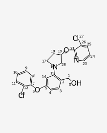 OCc1ccc(Oc2ccccc2Cl)cc1N1CCC(Oc2ncccc2Cl)C1